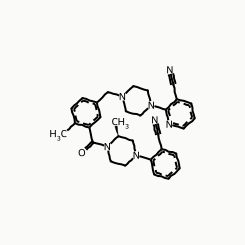 Cc1ccc(CN2CCN(c3ncccc3C#N)CC2)cc1C(=O)N1CCN(c2ccccc2C#N)C[C@@H]1C